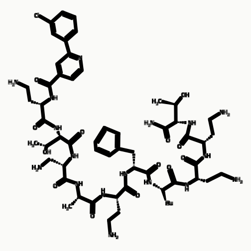 CC[C@H](C)[C@H](NC(=O)[C@@H](Cc1ccccc1)NC(=O)[C@H](CCN)NC(=O)[C@H](C)NC(=O)[C@H](CN)NC(=O)[C@@H](NC(=O)[C@H](CCN)NC(=O)c1ccnc(-c2cccc(Cl)c2)c1)[C@@H](C)O)C(=O)N[C@@H](CCN)C(=O)N[C@@H](CCN)C(=O)N[C@H](C(N)=O)[C@@H](C)O